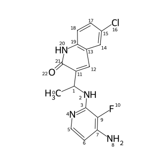 CC(Nc1nccc(N)c1F)c1cc2cc(Cl)ccc2[nH]c1=O